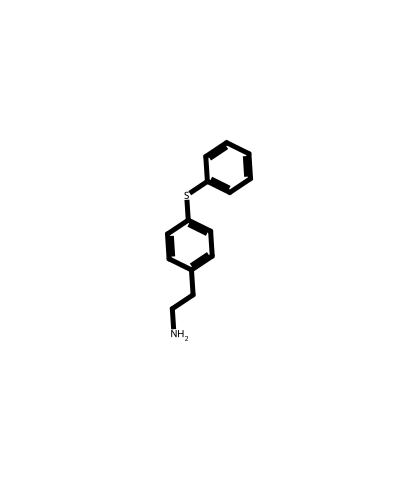 NCCc1ccc(Sc2ccccc2)cc1